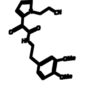 COc1ccc(CCNC(=O)C(=O)c2cccn2CCC#N)cc1OC